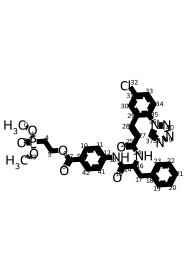 COP(=O)(CCOC(=O)c1ccc(NC(=O)C(Cc2ccccc2)NC(=O)C=Cc2cc(Cl)ccc2-n2cnnn2)cc1)OC